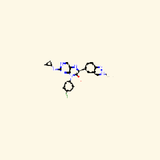 Cn1cc2cc(-c3nc4cnc(NC5CC5)nc4n(-c4ccc(Cl)cc4)c3=O)ccc2n1